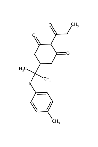 CCC(=O)C1C(=O)CC(C(C)(C)Sc2ccc(C)cc2)CC1=O